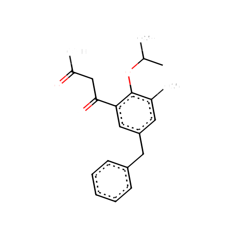 COc1cc(Cc2ccccc2)cc(C(=O)CC(=O)C(=O)O)c1OC(C)OC